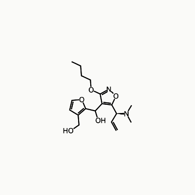 C=C[C@@H](c1onc(OCCCC)c1C(O)c1occc1CO)N(C)C